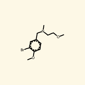 COCCN(C)Cc1ccc(OC)c(Br)c1